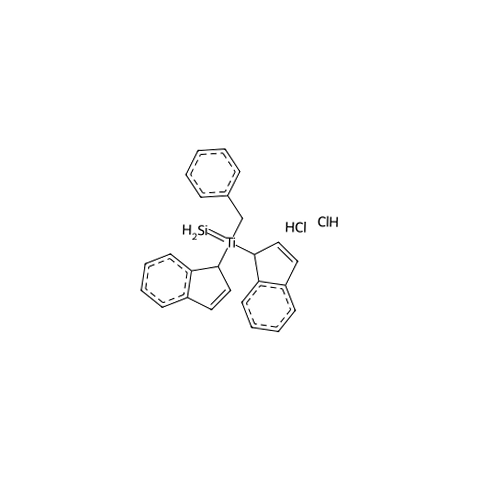 Cl.Cl.[SiH2]=[Ti]([CH2]c1ccccc1)([CH]1C=Cc2ccccc21)[CH]1C=Cc2ccccc21